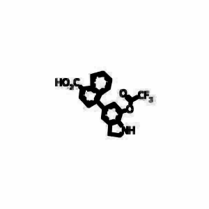 O=C(O)c1ccc(-c2cc3c(c(OC(=O)C(F)(F)F)c2)NCC3)c2ccccc12